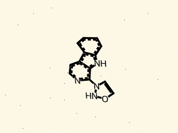 C1=CN(c2nccc3c2[nH]c2ccccc23)NO1